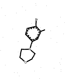 Cc1cc(N2CCOCC2)ccc1Br